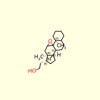 C[C@]12CC3OC34[C@@H](CCC3CCCC[C@@]34C)[C@@H]1CC[C@@H]2CCO